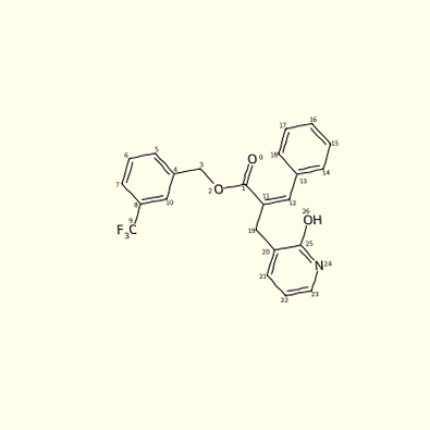 O=C(OCc1cccc(C(F)(F)F)c1)/C(=C\c1ccccc1)Cc1cccnc1O